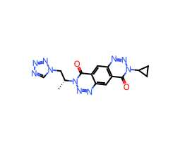 C[C@H](Cn1cnnn1)n1nnc2cc3c(=O)n(C4CC4)nnc3cc2c1=O